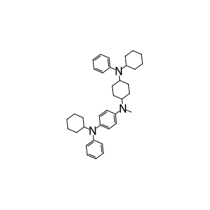 CN(c1ccc(N(c2ccccc2)C2CCCCC2)cc1)C1CCC(N(c2ccccc2)C2CCCCC2)CC1